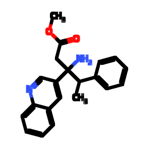 COC(=O)CC(N)(c1cnc2ccccc2c1)C(C)c1ccccc1